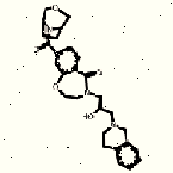 O=C1c2ccc(C(=O)N3C4CCC3COC4)cc2OCCN1CC(O)CN1CCc2ccccc2C1